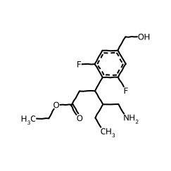 CCOC(=O)CC(c1c(F)cc(CO)cc1F)C(CC)CN